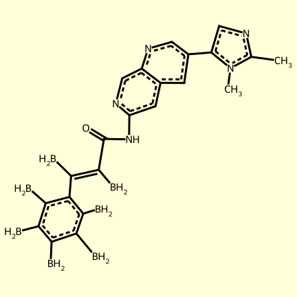 B/C(C(=O)Nc1cc2cc(-c3cnc(C)n3C)cnc2cn1)=C(/B)c1c(B)c(B)c(B)c(B)c1B